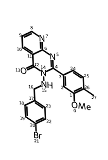 COc1cc(-c2nc3ncccc3c(=O)n2NCc2ccc(Br)cc2)ccc1C